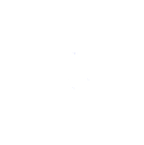 CC1N=CN2C(C)C2C1CN